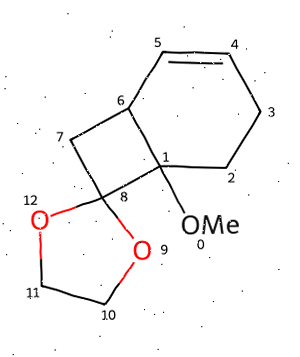 COC12CCC=CC1CC21OCCO1